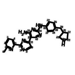 Cc1cccc(-c2nccc(-c3cnc(Nc4ccc(CC5CCNC5)cc4)nc3N)n2)n1